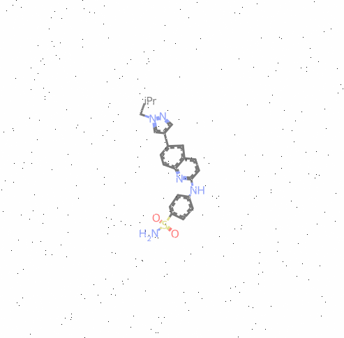 CC(C)Cn1cc(-c2ccc3nc(Nc4ccc(S(N)(=O)=O)cc4)ccc3c2)cn1